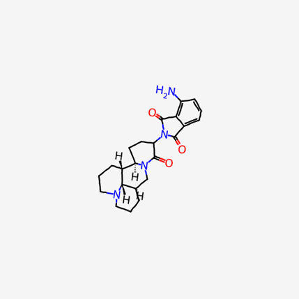 Nc1cccc2c1C(=O)N(C1CC[C@@H]3[C@H]4CCCN5CCC[C@H](CN3C1=O)[C@@H]45)C2=O